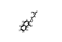 Cc1c(OCCN(C)C)ccc2ccccc12